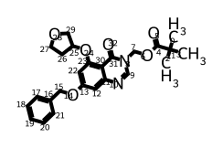 CC(C)(C)C(=O)OCn1cnc2cc(OCc3ccccc3)cc(OC3CCOC3)c2c1=O